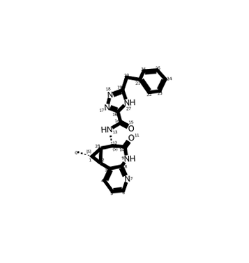 C[C@H]1C2c3cccnc3NC(=O)[C@@H](NC(=O)c3nnc(Cc4ccccc4)[nH]3)C21